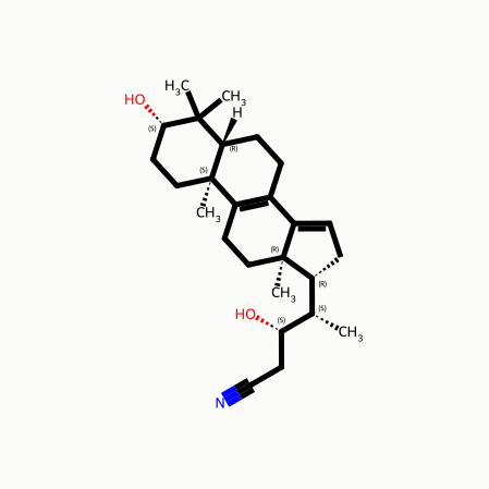 C[C@@H]([C@H]1CC=C2C3=C(CC[C@@]21C)[C@@]1(C)CC[C@H](O)C(C)(C)[C@@H]1CC3)[C@@H](O)CC#N